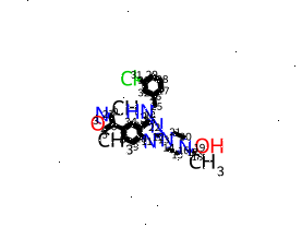 Cc1noc(C)c1-c1ccc2nc(N3CCN(C(C)O)CC3)nc(NCc3cccc(Cl)c3)c2c1